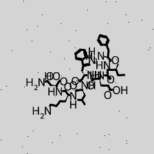 CC[C@H](C)[C@H](NC(=O)[C@@H](N)Cc1ccccc1)C(=O)N[C@@H](CCC(=O)O)C(=O)N[C@@H](Cc1c[nH]c2ccccc12)C(=O)N[C@@H](CC(C)C)C(=O)N[C@@H](CCCCN)C(=O)N[C@@H](CC(N)=O)C(=O)O